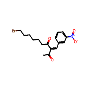 CC(=O)C(=Cc1cccc([N+](=O)[O-])c1)C(=O)CCCCCCBr